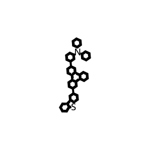 c1ccc(N(c2ccccc2)c2cccc(-c3ccc4c5ccc(-c6ccc7sc8ccccc8c7c6)cc5c5ccccc5c4c3)c2)cc1